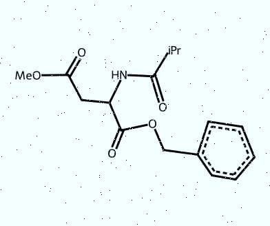 COC(=O)CC(NC(=O)C(C)C)C(=O)OCc1ccccc1